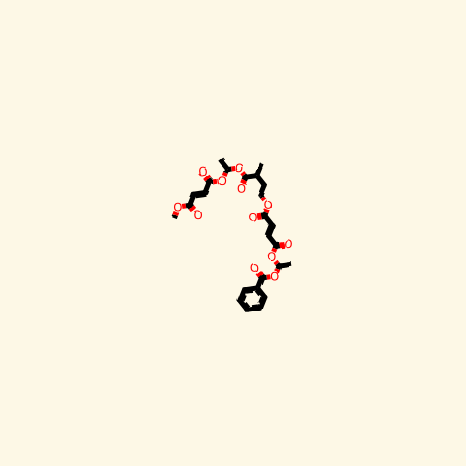 COC(=O)/C=C/C(=O)OC(C)OC(=O)C(C)CCOC(=O)/C=C/C(=O)OC(C)OC(=O)c1ccccc1